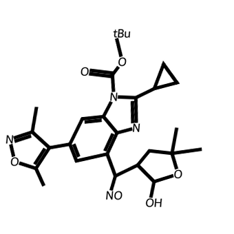 Cc1noc(C)c1-c1cc(C(N=O)C2CC(C)(C)OC2O)c2nc(C3CC3)n(C(=O)OC(C)(C)C)c2c1